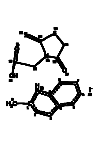 C[c+]1ccc2ccccc2[nH]1.O=C(O)CN1C(=O)CSC1=S.[I-]